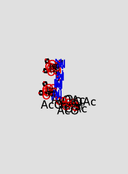 CC(=O)OCC1O[C@H](O[C@@H]2C(COC(C)=O)O[C@H](O[C@@H]3C(COC(C)=O)O[C@@H](OCc4cn(C[C@H]5O[C@H](OCc6cn(CCn7cc(CO[C@H]8O[C@H](Cn9cc(C)nn9)[C@@H](OC(=O)c9ccccc9)[C@H](OC(=O)c9ccccc9)[C@@H]8C)nn7)nn6)[C@@H](OC(=O)c6ccccc6)[C@@H](OC(=O)c6ccccc6)[C@@H]5C)nn4)C(OC(C)=O)[C@H]3C)C(OC(C)=O)[C@H]2C)C(OC(C)=O)[C@@H](C)[C@@H]1C